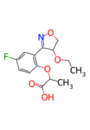 CCOC1CON=C1c1cc(F)ccc1OC(C)C(=O)O